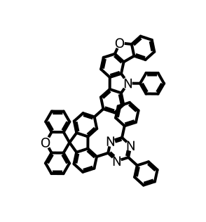 c1ccc(-c2nc(-c3ccccc3)nc(-c3cccc4c3-c3cc(-c5ccc6c(c5)c5ccc7oc8ccccc8c7c5n6-c5ccccc5)ccc3C43c4ccccc4Oc4ccccc43)n2)cc1